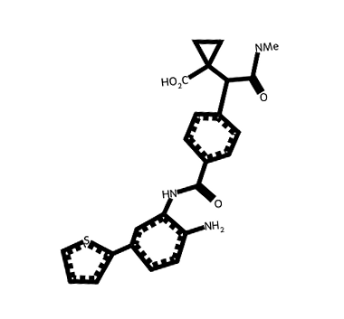 CNC(=O)C(c1ccc(C(=O)Nc2cc(-c3cccs3)ccc2N)cc1)C1(C(=O)O)CC1